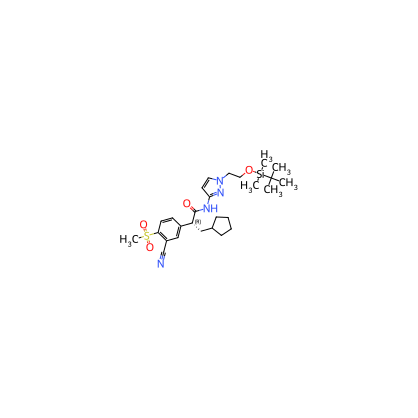 CC(C)(C)[Si](C)(C)OCCn1ccc(NC(=O)[C@H](CC2CCCC2)c2ccc(S(C)(=O)=O)c(C#N)c2)n1